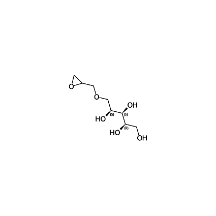 OC[C@@H](O)[C@H](O)[C@@H](O)COCC1CO1